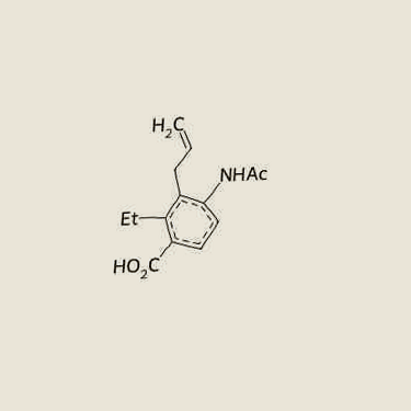 C=CCc1c(NC(C)=O)ccc(C(=O)O)c1CC